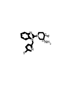 N[C@@H]1CN(c2nc3ccccc3n2Cc2ccc(F)cn2)CC[C@H]1F